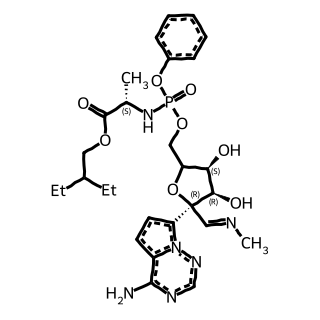 CCC(CC)COC(=O)[C@H](C)NP(=O)(OCC1O[C@@](C=NC)(c2ccc3c(N)ncnn23)[C@H](O)[C@@H]1O)Oc1ccccc1